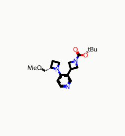 COC[C@@H]1CCN1c1ccncc1C1CN(C(=O)OC(C)(C)C)C1